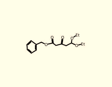 CCOC(CC(=O)CC(=O)OCc1ccccc1)OCC